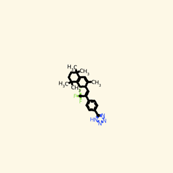 CC1=CC2=C(CC1C=C(c1ccc(-c3nnn[nH]3)cc1)C(F)(F)F)C(C)(C)CCC2(C)C